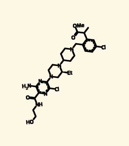 CC[C@H]1CN(c2nc(N)c(C(=O)NCCO)nc2Cl)CCN1C1CCN(Cc2ccc(Cl)cc2C(C)C(=O)OC)CC1